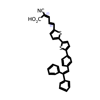 N#C/C(=C/C=C/c1ccc(-c2ccc(-c3ccc(C=C(c4ccccc4)c4ccccc4)cc3)s2)s1)C(=O)O